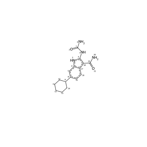 NC(=O)Nc1[nH]c2cc(C3CCCCC3)ccc2c1C(N)=O